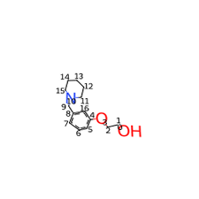 OCCOc1cccc(CN2CCCCC2)c1